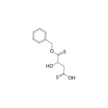 OC(=S)CC(O)C(=S)OCc1ccccc1